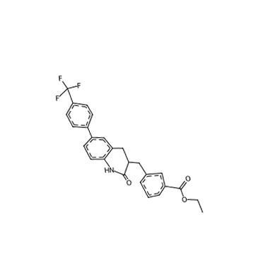 CCOC(=O)c1cccc(CC2Cc3cc(-c4ccc(C(F)(F)F)cc4)ccc3NC2=O)c1